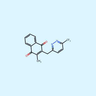 CC1=C(Cc2ccc(C(F)(F)F)nn2)C(=O)c2ccccc2C1=O